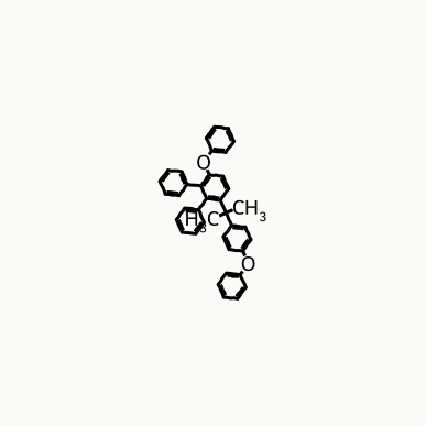 CC(C)(c1ccc(Oc2ccccc2)cc1)c1ccc(Oc2ccccc2)c(-c2ccccc2)c1-c1ccccc1